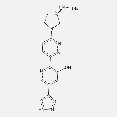 CC(C)(C)N[C@@H]1CCN(c2ccc(-c3ncc(-c4cn[nH]c4)cc3O)nn2)C1